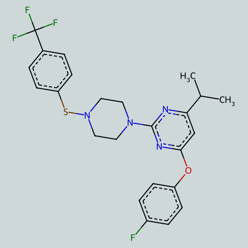 CC(C)c1cc(Oc2ccc(F)cc2)nc(N2CCN(Sc3ccc(C(F)(F)F)cc3)CC2)n1